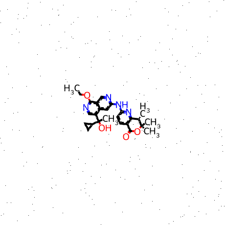 CCOc1ncc(C(C)(O)C2CC2)c2cc(Nc3ccc4c(n3)[C@@H](C)C(C)(C)OC4=O)ncc12